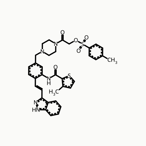 Cc1ccc(S(=O)(=O)OCC(=O)N2CCN(Cc3ccc(/C=C/c4n[nH]c5ccccc45)c(NC(=O)c4sccc4C)c3)CC2)cc1